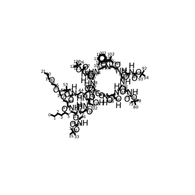 CCCCCC[C@H](NC(=O)CCOCCOCCOCCC)C(=O)N[C@@H](CCNC(=O)OC(C)(C)C)C(=O)N[C@H](C(=O)N[C@@H](CCNC(=O)OC(C)(C)C)C(=O)N[C@H]1CCNC(=O)[C@H]([C@@H](C)O)NC(=O)[C@H](CCNC(=O)OC(C)(C)C)NC(=O)[C@H](CCNC(=O)OC(C)(C)C)NC(=O)[C@H](CC(C)C)NC(=O)[C@@H](Cc2ccccc2)NC(=O)[C@H](CCNC(=O)OC(C)(C)C)NC1=O)[C@@H](C)O